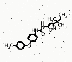 CCC(C)(C)c1cc(NC(=O)Nc2ccc(Oc3ccc(C)cc3)cc2)on1